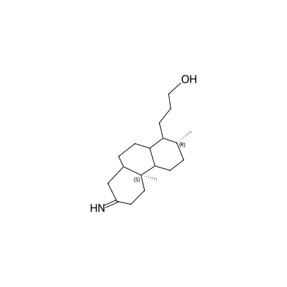 C[C@@H]1CCC2C(CCC3CC(=N)CC[C@@]32C)C1CCCO